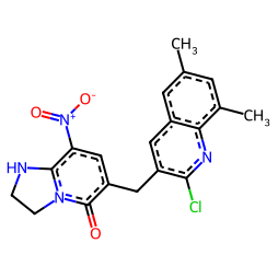 Cc1cc(C)c2nc(Cl)c(Cc3cc([N+](=O)[O-])c4n(c3=O)CCN4)cc2c1